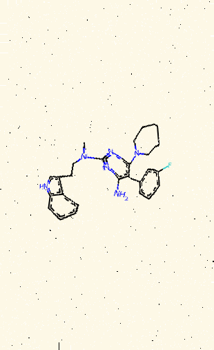 CN(CCc1c[nH]c2ccccc12)c1nc(N)c(-c2cccc(F)c2)c(N2CCCCC2)n1